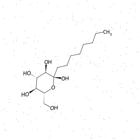 CCCCCCCC[C@]1(O)O[C@H](CO)[C@@H](O)[C@H](O)[C@H]1O